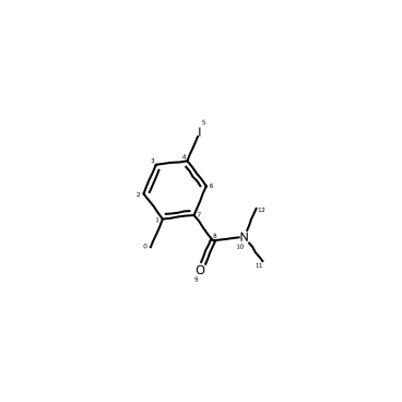 Cc1ccc(I)cc1C(=O)N(C)C